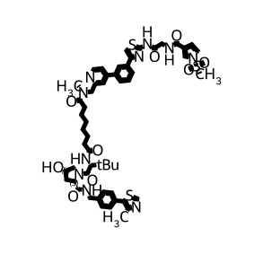 Cc1ncsc1-c1ccc(CNC(=O)[C@@H]2C[C@@H](O)CN2C(=O)C(NC(=O)CCCCCCC(=O)N(C)Cc2cc(-c3cccc(-c4csc(NC(=O)CNC(=O)c5ccn(S(C)(=O)=O)c5)n4)c3)ccn2)C(C)(C)C)cc1